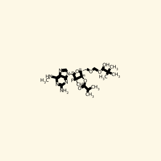 CNc1nc(N)nc2c1ncn2[C@@H]1O[C@H](COCOC(O)C(C)(C)C)[C@@H](OC(=O)C(C)C)[C@@]1(C)F